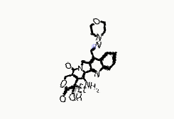 CC[C@@]1(O)C(=O)OCc2c1c(N)c1n(c2=O)Cc2c-1nc1ccccc1c2/C=N/N1CCOCC1